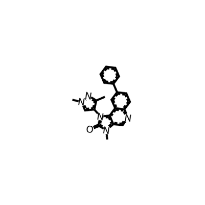 Cc1nn(C)cc1-n1c(=O)n(C)c2cnc3ccc(-c4ccccc4)cc3c21